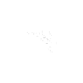 CC(=O)N1CCC[C@H](N2c3nc(Nc4ccc(N5CCN(C)CC5)c(C)c4)ncc3C(C)=C(c3ccnc(F)c3)C2O)C1